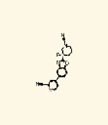 N#Cc1cc(-c2ccc3oc([C@@]4(F)CCCN(C#N)C4)nc3c2)ccn1